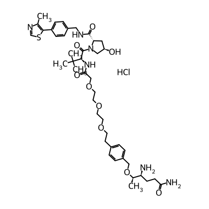 Cc1ncsc1-c1ccc(CNC(=O)[C@@H]2C[C@@H](O)CN2C(=O)[C@@H](NC(=O)COCCOCCOCCc2ccc(CO[C@H](C)[C@@H](N)CCC(N)=O)cc2)C(C)(C)C)cc1.Cl